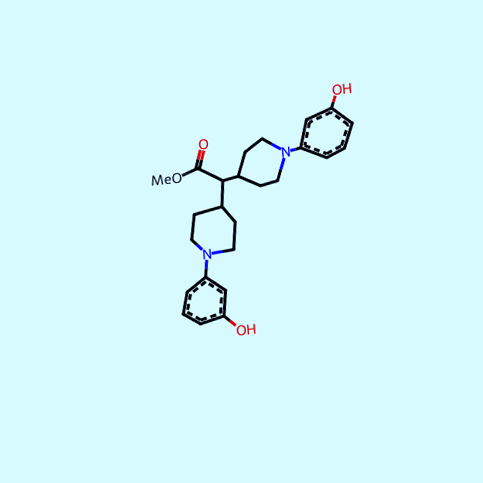 COC(=O)C(C1CCN(c2cccc(O)c2)CC1)C1CCN(c2cccc(O)c2)CC1